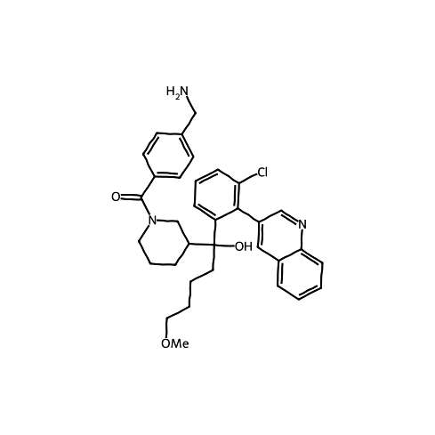 COCCCCC(O)(c1cccc(Cl)c1-c1cnc2ccccc2c1)C1CCCN(C(=O)c2ccc(CN)cc2)C1